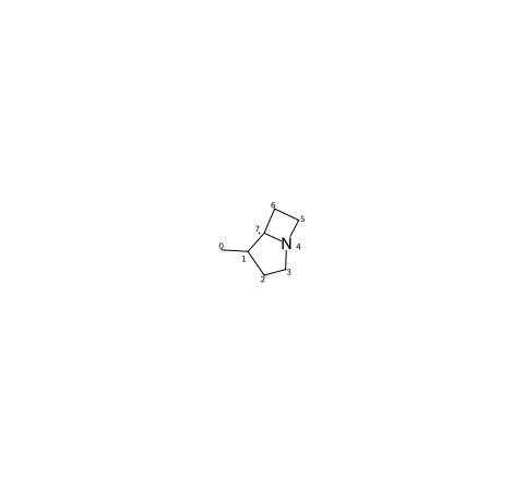 CC1CCN2CC[C]12